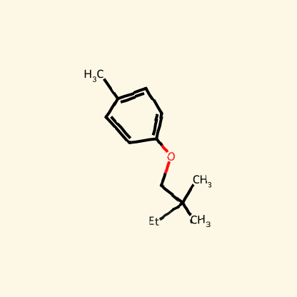 CCC(C)(C)COc1ccc(C)cc1